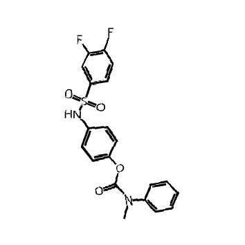 CN(C(=O)Oc1ccc(NS(=O)(=O)c2ccc(F)c(F)c2)cc1)c1ccccc1